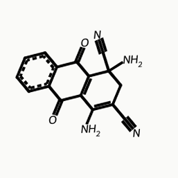 N#CC1=C(N)C2=C(C(=O)c3ccccc3C2=O)C(N)(C#N)C1